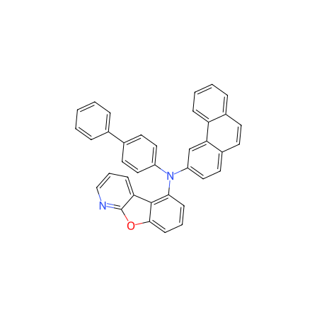 c1ccc(-c2ccc(N(c3ccc4ccc5ccccc5c4c3)c3cccc4oc5ncccc5c34)cc2)cc1